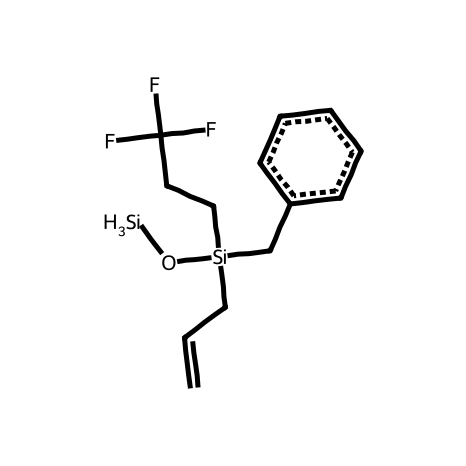 C=CC[Si](CCC(F)(F)F)(Cc1ccccc1)O[SiH3]